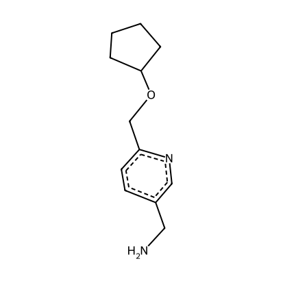 NCc1ccc(COC2CCCC2)nc1